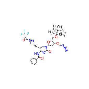 CC(C)(C)[Si](C)(C)OCC1OC(n2cc(C#CCNC3OC3C(F)(F)F)c(NC(=O)c3ccccc3)nc2=O)CC1OCN=[N+]=[N-]